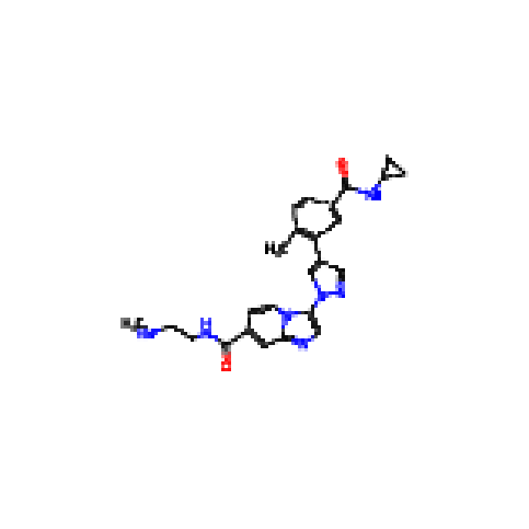 CNCCNC(=O)c1ccn2c(-n3cc(-c4cc(C(=O)NC5CC5)ccc4C)cn3)cnc2c1